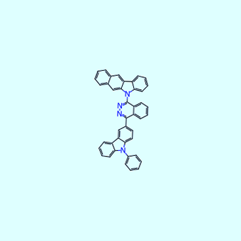 c1ccc(-n2c3ccccc3c3cc(-c4nnc(-n5c6ccccc6c6cc7ccccc7cc65)c5ccccc45)ccc32)cc1